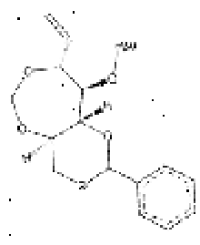 C=C[C@H]1OCO[C@@H]2COC(c3ccccc3)O[C@H]2[C@@H]1OCCCC